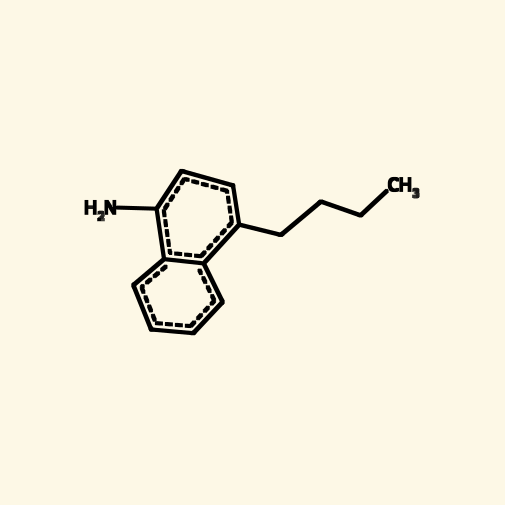 CCCCc1ccc(N)c2ccccc12